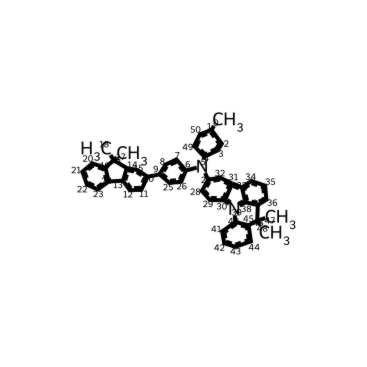 Cc1ccc(N(c2ccc(-c3ccc4c(c3)C(C)(C)c3ccccc3-4)cc2)c2ccc3c(c2)c2cccc4c2n3-c2ccccc2C4(C)C)cc1